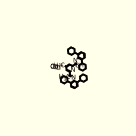 CC(=Nc1c(C2CCCCC2)cccc1C1CCCCC1)c1cc(C)cc(C(C)=Nc2c(C3CCCCC3)cccc2C2CCCCC2)n1.[Cl-].[Cl-].[Cl-].[Co+3]